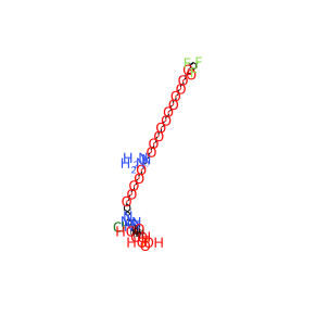 N/C(=C\N(N)CCOCCOCCOCCOCCOCCOCCOCCOCCOCCOCCC(=O)Oc1c(F)cc(F)cc1F)COCCOCCOCCOCCOC1CCC2(CC1)CN(c1nc(Cl)nc3c1cnn3[C@@H]1O[C@H](COCP(=O)(O)O)[C@@H](O)[C@H]1O)C2